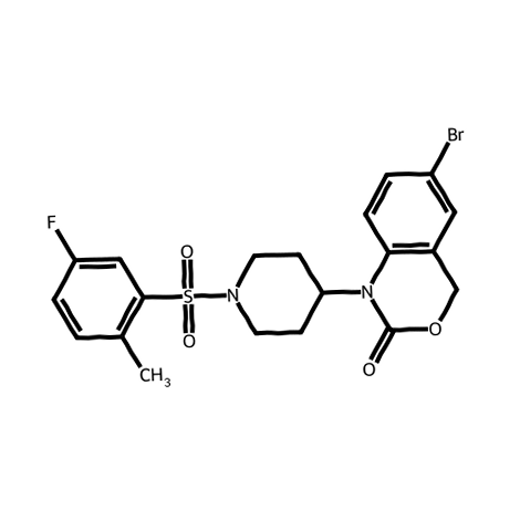 Cc1ccc(F)cc1S(=O)(=O)N1CCC(N2C(=O)OCc3cc(Br)ccc32)CC1